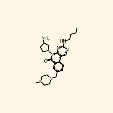 CCCCNc1ncc2c3ccc(CN4CCN(C)CC4)cc3c(=O)n([C@H]3CCC(N)C3)c2n1